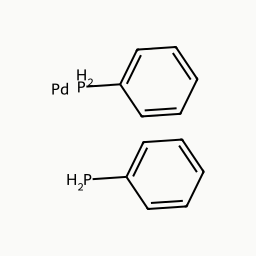 Pc1ccccc1.Pc1ccccc1.[Pd]